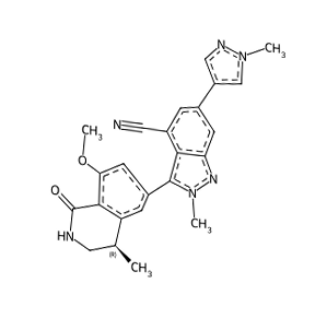 COc1cc(-c2c3c(C#N)cc(-c4cnn(C)c4)cc3nn2C)cc2c1C(=O)NC[C@@H]2C